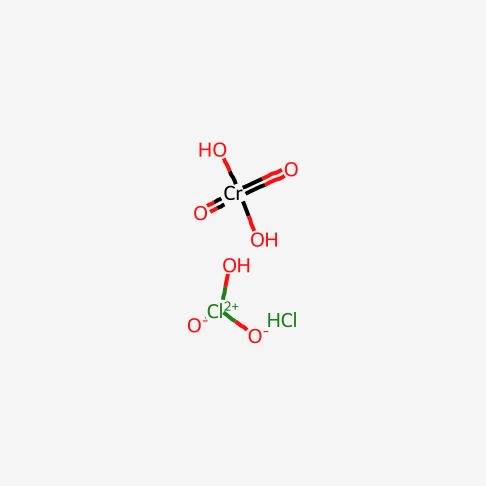 Cl.[O-][Cl+2]([O-])O.[O]=[Cr](=[O])([OH])[OH]